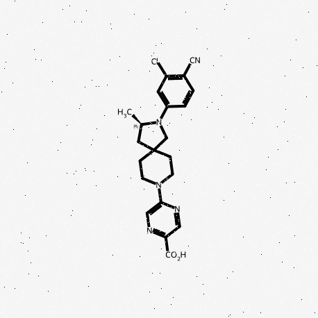 C[C@@H]1CC2(CCN(c3cnc(C(=O)O)cn3)CC2)CN1c1ccc(C#N)c(Cl)c1